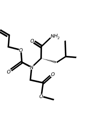 C=CCOC(=O)N(CC(=O)OC)[C@@H](CC(C)C)C(N)=O